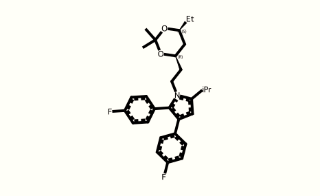 CC[C@H]1C[C@@H](CCn2c(C(C)C)cc(-c3ccc(F)cc3)c2-c2ccc(F)cc2)OC(C)(C)O1